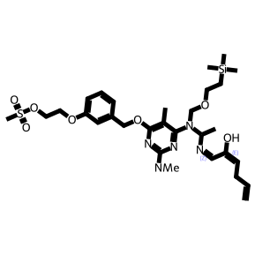 C=CC/C=C(O)\C=N/C(C)N(COCC[Si](C)(C)C)c1nc(NC)nc(OCc2cccc(OCCOS(C)(=O)=O)c2)c1C